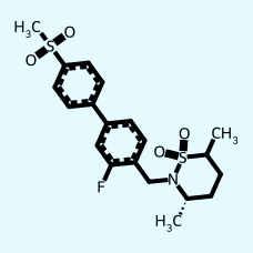 CC1CC[C@H](C)N(Cc2ccc(-c3ccc(S(C)(=O)=O)cc3)cc2F)S1(=O)=O